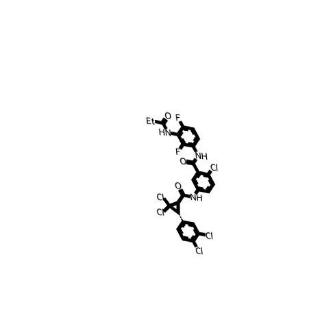 CCC(=O)Nc1c(F)ccc(NC(=O)c2cc(NC(=O)C3[C@H](c4ccc(Cl)c(Cl)c4)C3(Cl)Cl)ccc2Cl)c1F